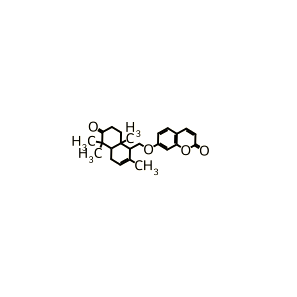 CC1=CCC2C(C)(C)C(=O)CCC2(C)C1COc1ccc2ccc(=O)oc2c1